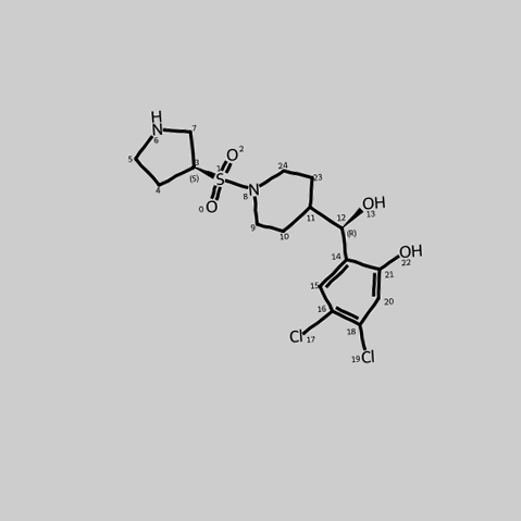 O=S(=O)([C@H]1CCNC1)N1CCC([C@@H](O)c2cc(Cl)c(Cl)cc2O)CC1